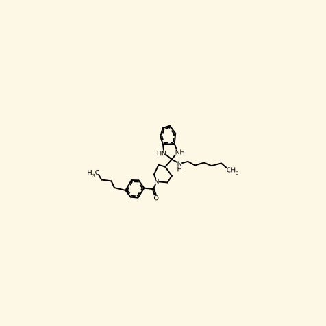 CCCCCCNC1(C2CCN(C(=O)c3ccc(CCCC)cc3)CC2)Nc2ccccc2N1